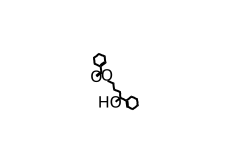 O=C(OCCCCC(O)C1=CCCCC1)C1=CCCCC1